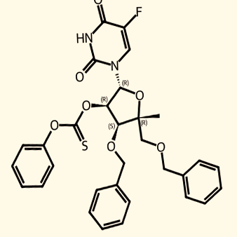 C[C@]1(COCc2ccccc2)O[C@@H](n2cc(F)c(=O)[nH]c2=O)[C@H](OC(=S)Oc2ccccc2)[C@@H]1OCc1ccccc1